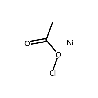 CC(=O)OCl.[Ni]